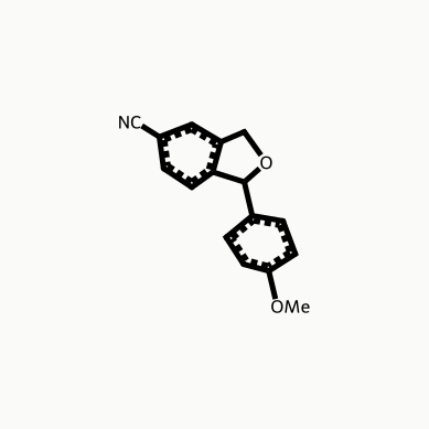 COc1ccc(C2OCc3cc(C#N)ccc32)cc1